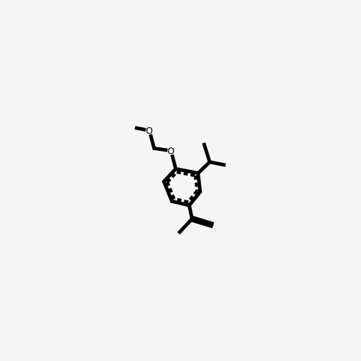 C=C(C)c1ccc(OCOC)c(C(C)C)c1